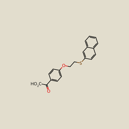 O=C(O)C(=O)c1ccc(OCCSc2ccc3ccccc3c2)cc1